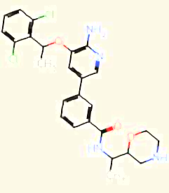 CC(Oc1cc(-c2cccc(C(=O)NC(C)C3CNCCO3)c2)cnc1N)c1c(Cl)cccc1Cl